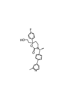 Cc1cc(-c2ccc([C@H](C)N3CCC(CCO)(c4ccc(F)cc4)OC3=O)cc2)ccn1